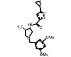 COc1cc(CN2C[C@@H](C)[C@H](NC(=O)c3cc(C4CC4)on3)C2)cc(OC)c1